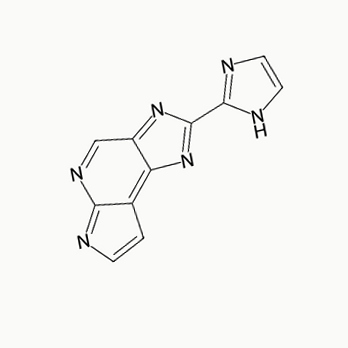 C1=Cc2c3c(cnc2=N1)=NC(c1ncc[nH]1)=N3